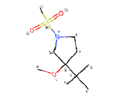 COC1(C(C)(C)C)CCN(S(C)(=O)=O)C1